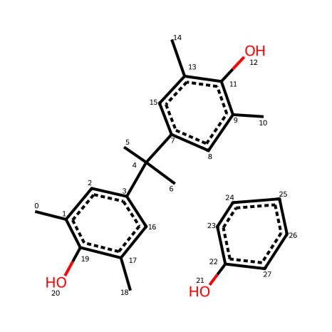 Cc1cc(C(C)(C)c2cc(C)c(O)c(C)c2)cc(C)c1O.Oc1ccccc1